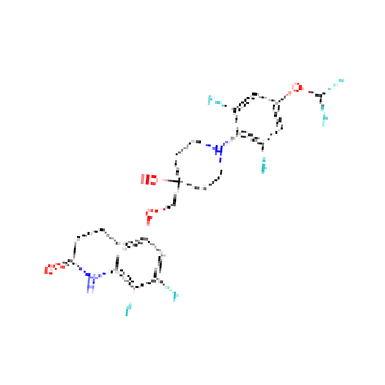 O=C1CCc2c(OCC3(O)CCN(c4c(F)cc(OC(F)F)cc4F)CC3)cc(F)c(F)c2N1